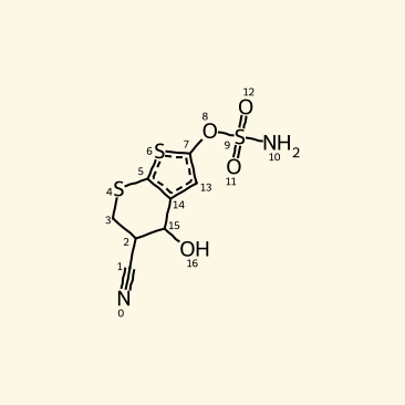 N#CC1CSc2sc(OS(N)(=O)=O)cc2C1O